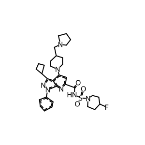 O=C(NS(=O)(=O)N1CCC(F)CC1)c1cc(N2CCC(CN3CCCC3)CC2)c2c(C3CCC3)nn(-c3ccccc3)c2n1